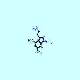 Cc1cc(C)c2c(CCN)cn(C)c2c1